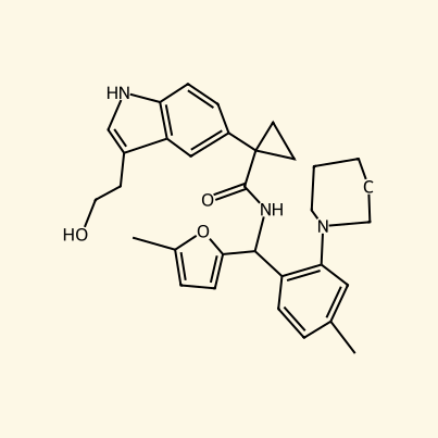 Cc1ccc(C(NC(=O)C2(c3ccc4[nH]cc(CCO)c4c3)CC2)c2ccc(C)o2)c(N2CCCCC2)c1